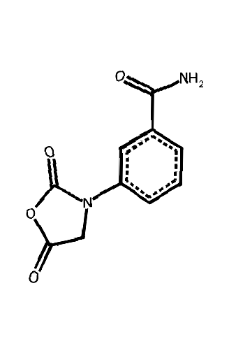 NC(=O)c1cccc(N2CC(=O)OC2=O)c1